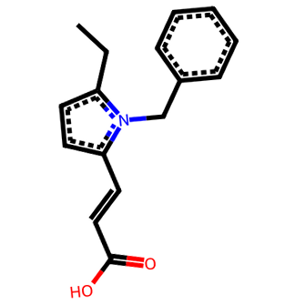 CCc1ccc(/C=C/C(=O)O)n1Cc1ccccc1